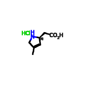 CC1=C[C@H](CC(=O)O)NC1.Cl